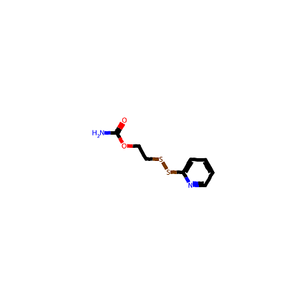 NC(=O)OCCSSc1ccccn1